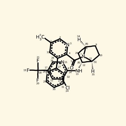 Cc1cnc(C(=O)N2[C@@H]3CC[C@H]2[C@H](Nc2ncc(C(F)(F)F)cc2Cl)C3)c(-c2ncccn2)c1